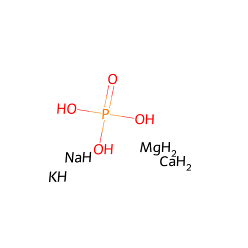 O=P(O)(O)O.[CaH2].[KH].[MgH2].[NaH]